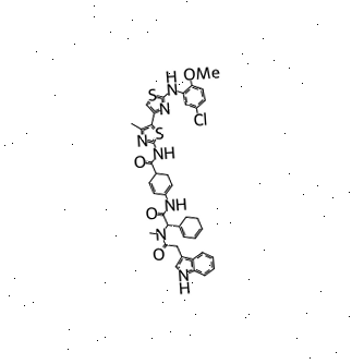 COc1ccc(Cl)cc1Nc1nc(-c2sc(NC(=O)C3C=CC(NC(=O)C(C4=CC=CCC4)N(C)C(=O)Cc4c[nH]c5ccccc45)=CC3)nc2C)cs1